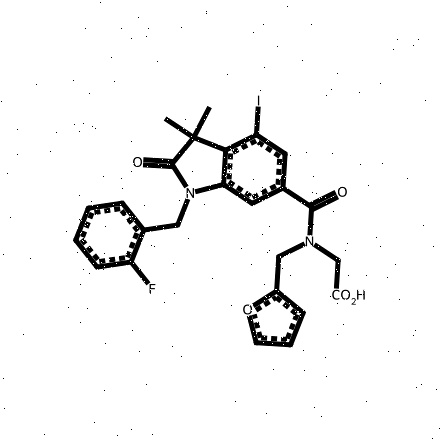 CC1(C)C(=O)N(Cc2ccccc2F)c2cc(C(=O)N(CC(=O)O)Cc3ccco3)cc(I)c21